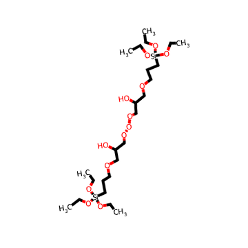 CCO[Si](CCCOCC(O)COOOCC(O)COCCC[Si](OCC)(OCC)OCC)(OCC)OCC